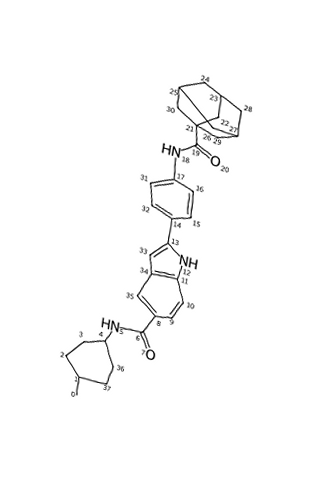 CC1CCC(NC(=O)c2ccc3[nH]c(-c4ccc(NC(=O)C56CC7CC(CC(C7)C5)C6)cc4)cc3c2)CC1